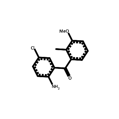 COc1cccc(C(=O)c2cc(Cl)ccc2N)c1C